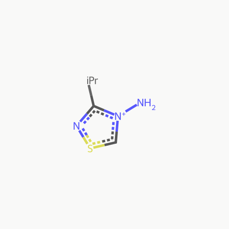 CC(C)c1nsc[n+]1N